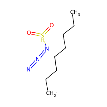 [CH2]CCCCCCC.[N-]=[N+]=N[SH](=O)=O